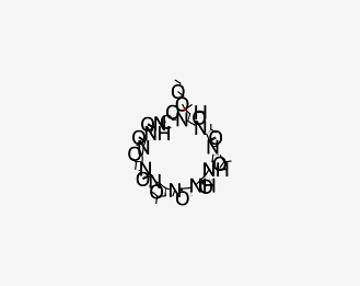 CCOCOC(C)(C)C[C@H]1C(=O)N[C@H](C(C)C)C(=O)N(C)[C@H](CC(C)C)C(=O)N[C@H](C)C(=O)N[C@H](C)C(=O)N(C)[C@@H](CC(C)C)C(=O)N(C)C(=O)N(C)[C@@H](C(C)C)C(=O)N(C)C(=O)NC(=O)N(C)CC(=O)N1C